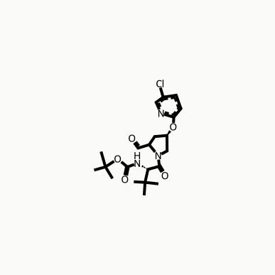 CC(C)(C)OC(=O)N[C@H](C(=O)N1C[C@H](Oc2ccc(Cl)cn2)CC1C=O)C(C)(C)C